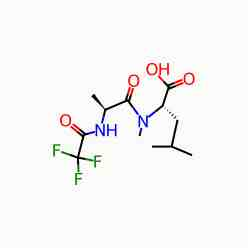 CC(C)C[C@@H](C(=O)O)N(C)C(=O)[C@H](C)NC(=O)C(F)(F)F